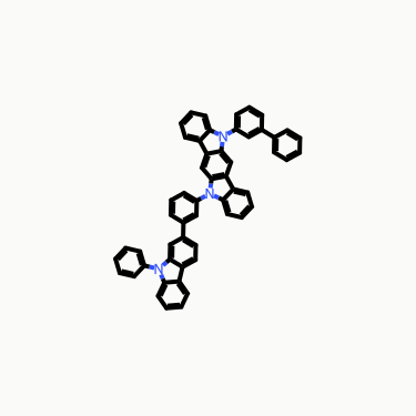 c1ccc(-c2cccc(-n3c4ccccc4c4cc5c(cc43)c3ccccc3n5-c3cccc(-c4ccc5c6ccccc6n(-c6ccccc6)c5c4)c3)c2)cc1